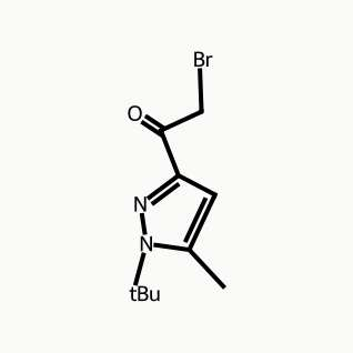 Cc1cc(C(=O)CBr)nn1C(C)(C)C